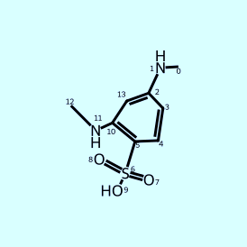 CNc1ccc(S(=O)(=O)O)c(NC)c1